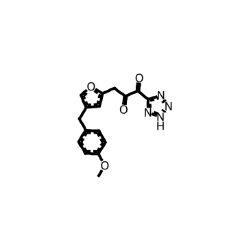 COc1ccc(Cc2coc(CC(=O)C(=O)c3nn[nH]n3)c2)cc1